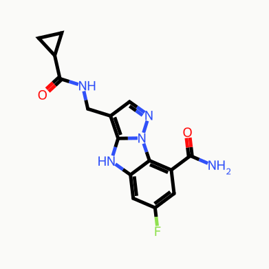 NC(=O)c1cc(F)cc2[nH]c3c(CNC(=O)C4CC4)cnn3c12